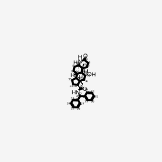 C[C@]12CCC(=O)N[C@@H]1CC[C@@H]1[C@@H]2[C@H](O)C[C@]2(C)[C@@H](C(=O)NC(c3ccccc3)c3ccccc3)CC[C@@H]12